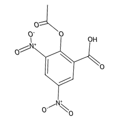 CC(=O)Oc1c(C(=O)O)cc([N+](=O)[O-])cc1[N+](=O)[O-]